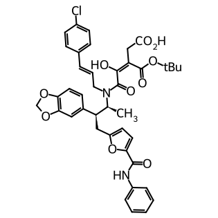 C[C@@H]([C@@H](Cc1ccc(C(=O)Nc2ccccc2)o1)c1ccc2c(c1)OCO2)N(CC=Cc1ccc(Cl)cc1)C(=O)C(O)=C(CC(=O)O)C(=O)OC(C)(C)C